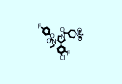 CCN(C(=O)Oc1ccc(F)cc1)[C@@H]1CN(C(=O)C2CCN(S(C)(=O)=O)CC2)C[C@H]1c1ccc(Cl)c(F)c1